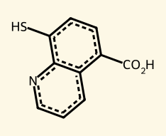 O=C(O)c1ccc(S)c2ncccc12